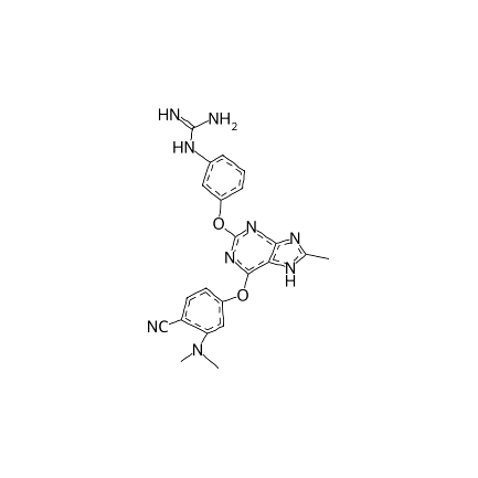 Cc1nc2nc(Oc3cccc(NC(=N)N)c3)nc(Oc3ccc(C#N)c(N(C)C)c3)c2[nH]1